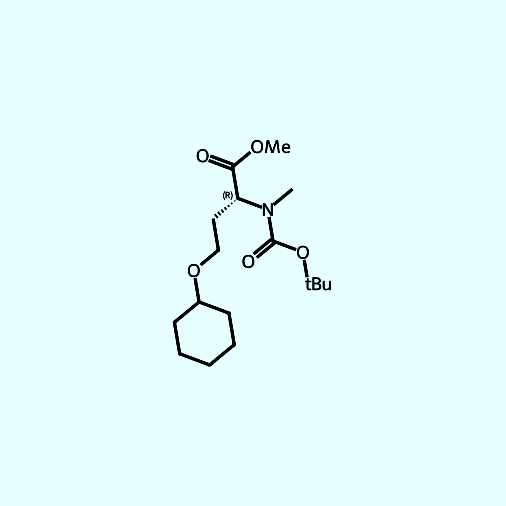 COC(=O)[C@@H](CCOC1CCCCC1)N(C)C(=O)OC(C)(C)C